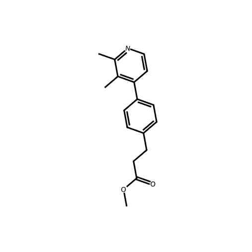 COC(=O)CCc1ccc(-c2ccnc(C)c2C)cc1